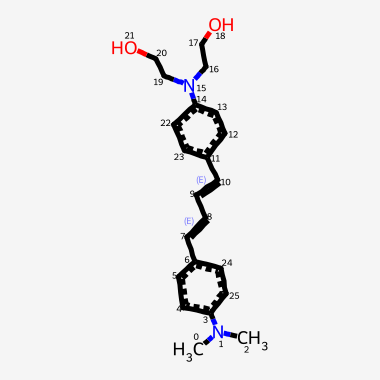 CN(C)c1ccc(/C=C/C=C/c2ccc(N(CCO)CCO)cc2)cc1